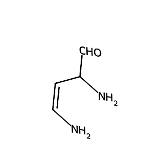 N/C=C\C(N)C=O